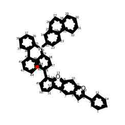 c1ccc(-c2cc3cc4c(cc3o2)oc2c(-c3ccc(N(c5ccc6c(ccc7ccccc76)c5)c5ccccc5-c5ccccc5)cc3)cccc24)cc1